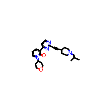 CC(C)CN1CCC(C#Cc2nccc(-c3cccn(C4CCOCC4)c3=O)n2)CC1